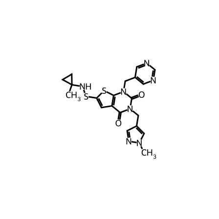 Cn1cc(Cn2c(=O)c3cc(SNC4(C)CC4)sc3n(Cc3cncnc3)c2=O)cn1